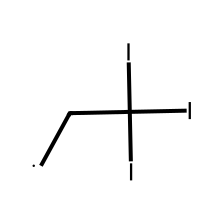 [CH2]CC(I)(I)I